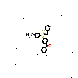 Cc1ccc([SH](c2ccc(C(=O)c3ccccc3)cc2)c2cc3ccccc3s2)cc1